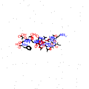 CC[C@H](C)[C@H](NC(=O)[C@H](CC(C)C)NC(=O)[C@H](C)NC(=O)[C@H](CC(C)C)NC(=O)[C@H](CCCCN)NC(=O)[C@H](CC(C)C)NC(=O)[C@H](C)NC(=O)[C@@H](NC(=O)[C@H](CC(C)C)NC(=O)[C@H](CCCCN)NC(C)=O)[C@@H](C)CC)C(=O)NCC(=O)N[C@@H](CC(=O)O)C(=O)N[C@@H](CCC(=O)O)C(=O)N[C@@H](Cc1ccccc1)C(=O)O